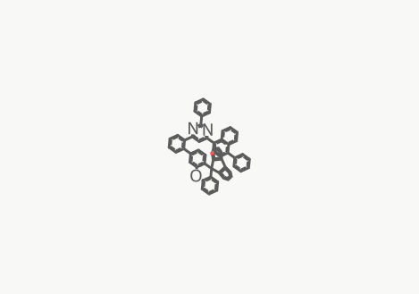 c1ccc(-c2nc(-c3ccccc3-c3ccc4c(c3)Oc3ccccc3C43c4ccccc4-c4ccccc43)cc(-c3ccc(-c4ccccc4)c4ccccc34)n2)cc1